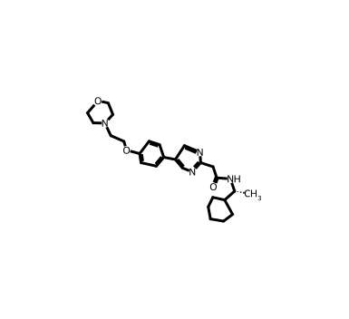 C[C@@H](NC(=O)Cc1ncc(-c2ccc(OCCN3CCOCC3)cc2)cn1)C1CCCCC1